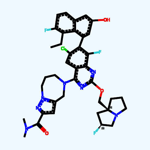 CCc1c(F)ccc2cc(O)cc(-c3c(Cl)cc4c(N5CCCn6nc(C(=O)N(C)C)cc6C5)nc(OC[C@@]56CCCN5C[C@H](F)C6)nc4c3F)c12